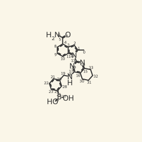 Cc1cc2c(C(N)=O)cccc2n1-c1nc2c(c(NCc3cccc(B(O)O)c3)n1)CCCC2